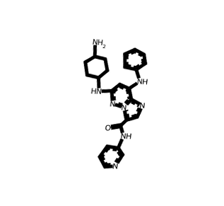 NC1CCC(Nc2cc(Nc3ccccc3)c3ncc(C(=O)Nc4cccnc4)n3n2)CC1